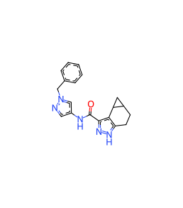 O=C(Nc1cnn(Cc2ccccc2)c1)c1n[nH]c2c1C1CC1CC2